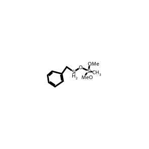 CO[Si](C)(OC)O[SiH2]Cc1ccccc1